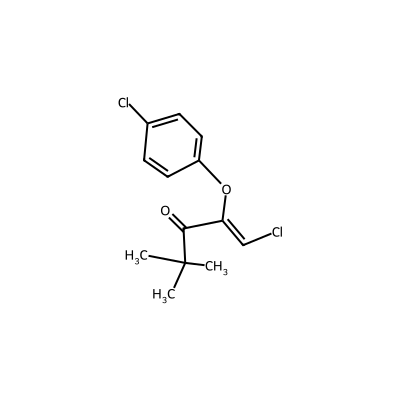 CC(C)(C)C(=O)/C(=C/Cl)Oc1ccc(Cl)cc1